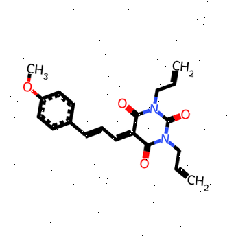 C=CCN1C(=O)C(=CC=Cc2ccc(OC)cc2)C(=O)N(CC=C)C1=O